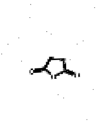 O=C1[C]CC(=O)O1